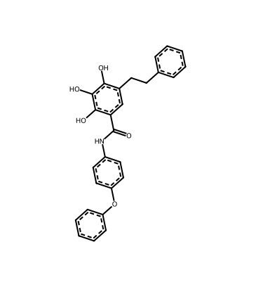 O=C(Nc1ccc(Oc2ccccc2)cc1)c1cc(CCc2ccccc2)c(O)c(O)c1O